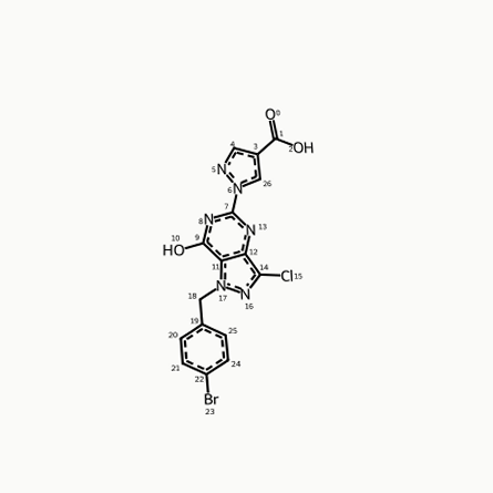 O=C(O)c1cnn(-c2nc(O)c3c(n2)c(Cl)nn3Cc2ccc(Br)cc2)c1